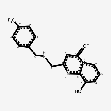 O=c1cc(CNCc2ccc(C(F)(F)F)cc2)nc2c(O)cccn12